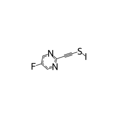 Fc1cnc(C#CSI)nc1